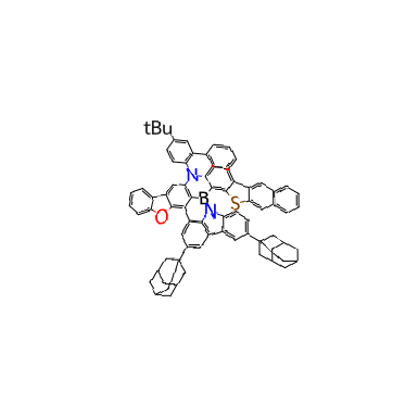 CC(C)(C)c1ccc(N2c3cc4c(oc5ccccc54)c4c3B(c3c2ccc2c3sc3cc5ccccc5cc32)n2c3ccc(C56CC7CC(CC(C7)C5)C6)cc3c3cc(C56CC7CC(CC(C7)C5)C6)cc-4c32)c(-c2ccccc2)c1